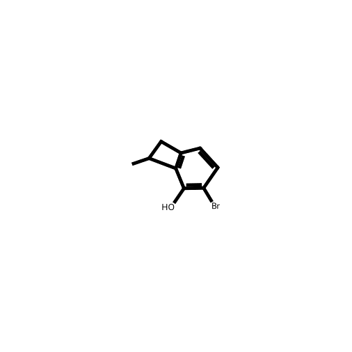 CC1Cc2ccc(Br)c(O)c21